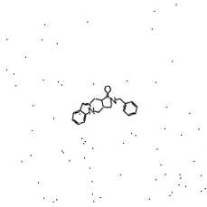 O=C1C2Cc3cc4ccccc4n3CC2CN1Cc1ccccc1